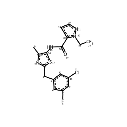 Cc1nc(Cc2cc(F)cc(Cl)c2)sc1NC(=O)c1ccnn1CC(F)(F)F